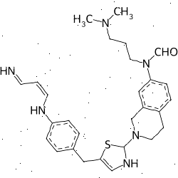 CN(C)CCCN(C=O)c1ccc2c(c1)CN(C1NC=C(Cc3ccc(N/C=C\C=N)cc3)S1)CC2